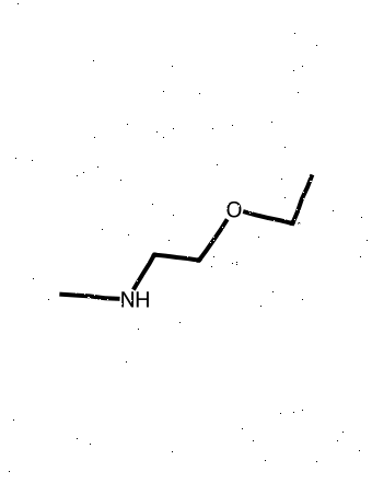 C[CH]OCCNC